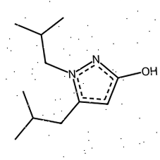 CC(C)Cc1cc(O)nn1CC(C)C